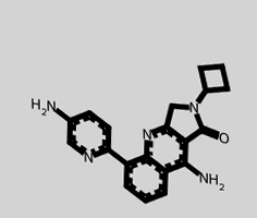 Nc1ccc(-c2cccc3c(N)c4c(nc23)CN(C2CCC2)C4=O)nc1